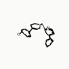 Clc1ccc(C2=CCN(Cc3cc(-c4ccccc4)ccn3)CC2)cc1